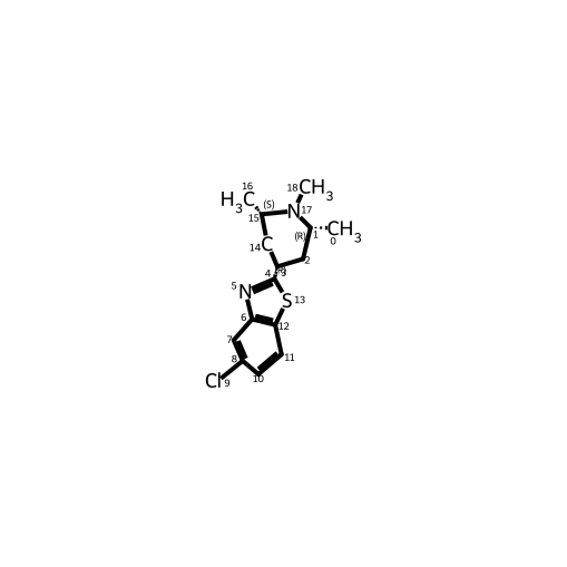 C[C@@H]1C[C@H](c2nc3cc(Cl)ccc3s2)C[C@H](C)N1C